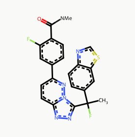 CNC(=O)c1ccc(-c2ccc3nnc(C(C)(F)c4ccc5ncsc5c4)n3n2)cc1F